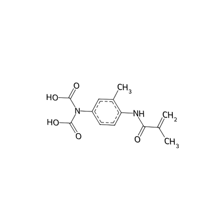 C=C(C)C(=O)Nc1ccc(N(C(=O)O)C(=O)O)cc1C